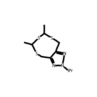 CC1SCc2nn(C(C)C)nc2CSC(C)S1